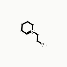 CCC[N+]1=CCCCC1